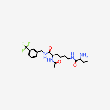 CC[C@@H](N)C(=O)NCCCC[C@@H](NC(C)=O)C(=O)NCc1cccc(C(F)(F)F)c1